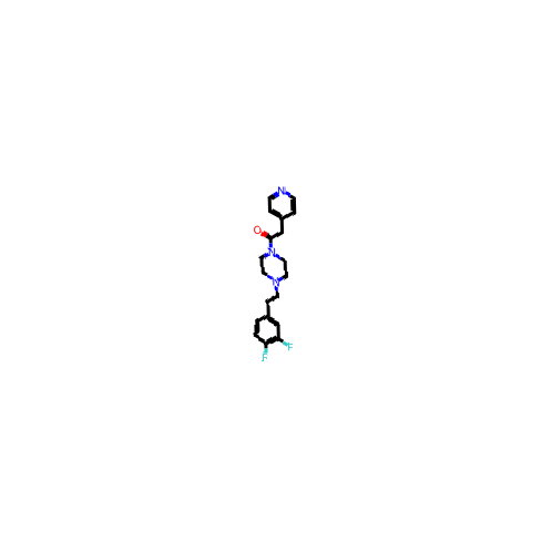 O=C(Cc1ccncc1)N1CCN(CCc2ccc(F)c(F)c2)CC1